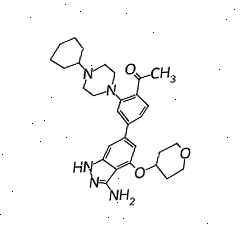 CC(=O)c1ccc(-c2cc(OC3CCOCC3)c3c(N)n[nH]c3c2)cc1N1CCN(C2CCCCC2)CC1